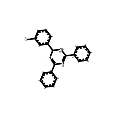 Clc1cccc(C2N=C(c3ccccc3)N=C(c3ccccc3)N2)c1